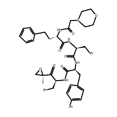 CC(C)C[C@H](NC(=O)[C@H](CCc1ccccc1)NC(=O)CN1CCOCC1)C(=O)N[C@@H](Cc1ccc(C(C)C)cc1)C(=O)N[C@@H](CC(C)C)C(=O)[C@@]1(C)CO1